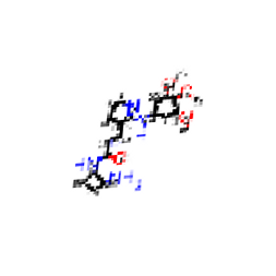 COc1cc(Nc2ncccc2/C=C/C(=O)NC2CCC2N)cc(OC)c1OC